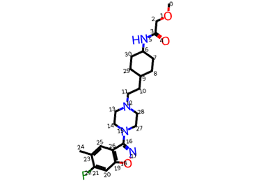 COCC(=O)NC1CCC(CCN2CCN(c3noc4cc(F)c(C)cc34)CC2)CC1